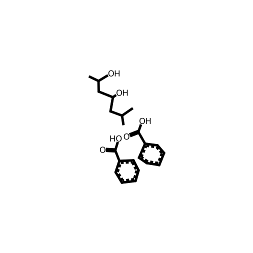 CC(C)CC(O)CC(C)O.O=C(O)c1ccccc1.O=C(O)c1ccccc1